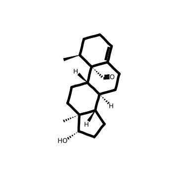 C[C@H]1CCC=C2CC[C@H]3[C@@H]4CC[C@H](O)[C@@]4(C)CC[C@@H]3[C@]21C=O